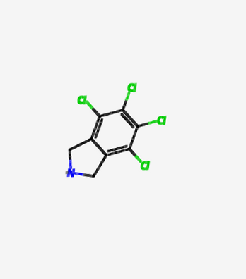 Clc1c(Cl)c(Cl)c2c(c1Cl)C[N]C2